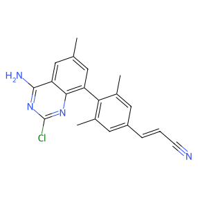 Cc1cc(-c2c(C)cc(/C=C/C#N)cc2C)c2nc(Cl)nc(N)c2c1